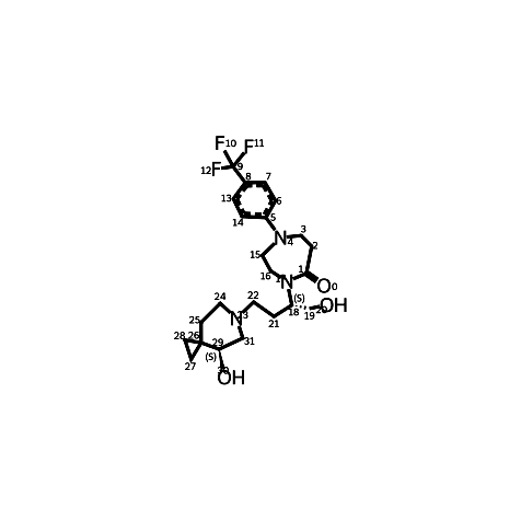 O=C1CCN(c2ccc(C(F)(F)F)cc2)CCN1[C@H](CO)CCN1CCC2(CC2)[C@H](O)C1